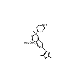 Cc1cc(C2=CC3=NC(C)(C4CCNCC4)N=CC3=N2)c(C)s1.Cl.O